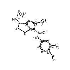 Cn1cc2c(c1C(=O)Nc1ccc(F)c(Cl)c1)CCC2NC(=O)O